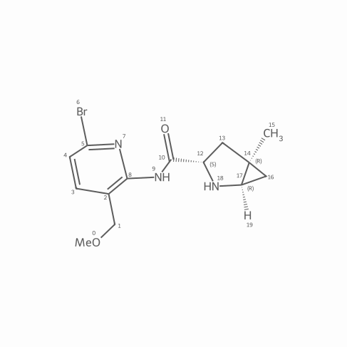 COCc1ccc(Br)nc1NC(=O)[C@@H]1C[C@@]2(C)C[C@H]2N1